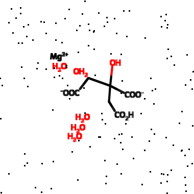 O.O.O.O.O.O=C([O-])CC(O)(CC(=O)O)C(=O)[O-].[Mg+2]